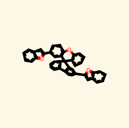 c1ccc2c(c1)Oc1ccc(-c3cc4ccccc4o3)cc1C21c2ccccc2-c2ccc(-c3cc4ccccc4o3)cc21